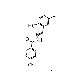 O=C(N/N=C/c1cc(Br)ccc1O)c1ccc(C(F)(F)F)cc1